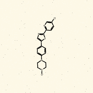 [O-][S+]1CCN(c2ccc(-c3cnc(-c4ccc(Cl)cn4)s3)cc2)CC1